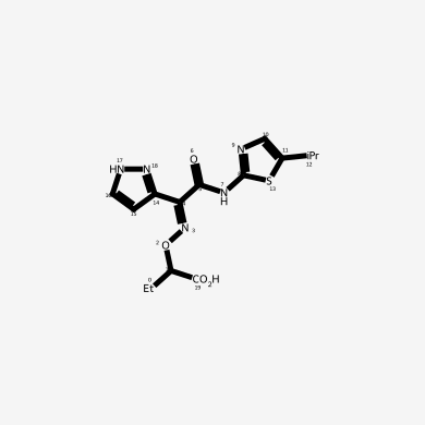 CCC(ON=C(C(=O)Nc1ncc(C(C)C)s1)c1cc[nH]n1)C(=O)O